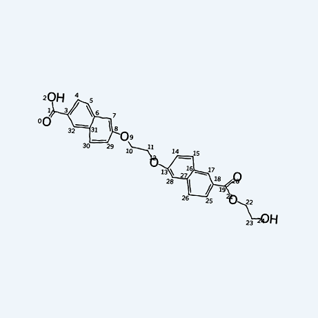 O=C(O)c1ccc2cc(OCCOc3ccc4cc(C(=O)OCCO)ccc4c3)ccc2c1